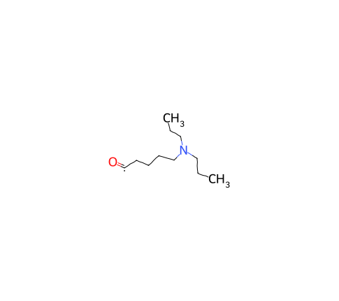 CCCN(CCC)CCCC[C]=O